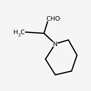 CC([C]=O)N1CCCCC1